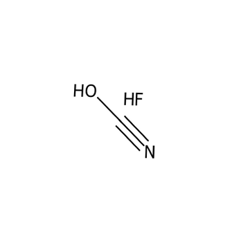 F.N#CO